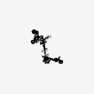 COc1c(CCCCc2ccc(C(=O)c3ccccc3)cc2)cc(C(=O)NCCNC(=O)CCCCNC(=O)C(CSOOO)NC(=O)[C@H]2CCCN2C2=C(/C=C3/N(C)c4ccccc4C3(C)C)C(=O)/C2=C\C2=[N+](C)c3ccccc3C2(C)C)c2c1B(O)OC2